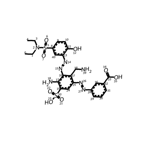 CCN(CC)S(=O)(=O)c1ccc(O)c(/N=N/c2c(N)c(S(=O)(=O)O)cc(/N=N/c3cccc(C(=O)O)c3)c2CN)c1